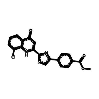 COC(=O)c1ccc(-c2csc(-c3cc(=O)c4cccc(Cl)c4[nH]3)n2)cc1